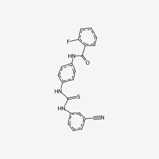 N#Cc1cccc(NC(=S)Nc2ccc(NC(=O)c3ccccc3F)cc2)c1